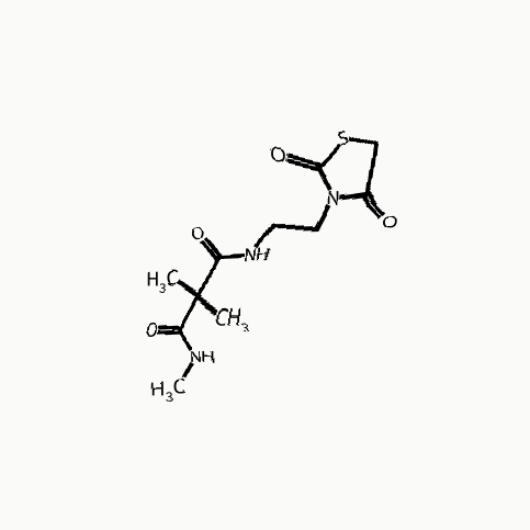 CNC(=O)C(C)(C)C(=O)NCCN1C(=O)CSC1=O